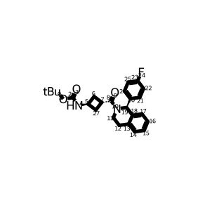 CC(C)(C)OC(=O)N[C@H]1C[C@H](C(=O)N2CCc3ccccc3[C@@H]2c2ccc(F)cc2)C1